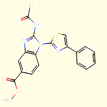 CCC(=O)Nc1nc2cc(C(=O)OC(C)(C)C)ccc2n1-c1nc(-c2ccccc2)cs1